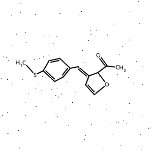 CSc1ccc(C=C2C=COC2C(C)=O)cc1